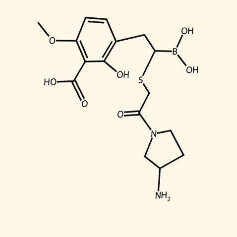 COc1ccc(CC(SCC(=O)N2CCC(N)C2)B(O)O)c(O)c1C(=O)O